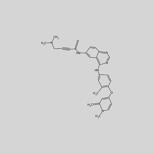 C=C1C=C(Oc2ccc(Nc3ncnc4ccc(NC(=O)C#CCN(C)C)cc34)cc2C)C=CN1C